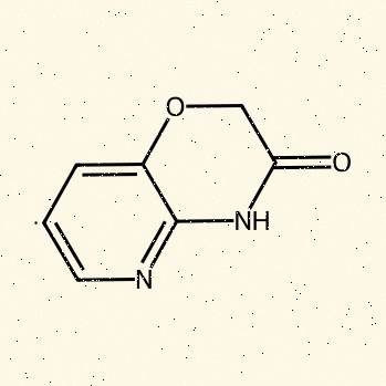 O=C1COc2c[c]cnc2N1